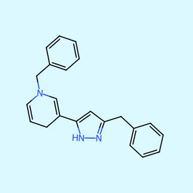 C1=CN(Cc2ccccc2)C=C(c2cc(Cc3ccccc3)n[nH]2)C1